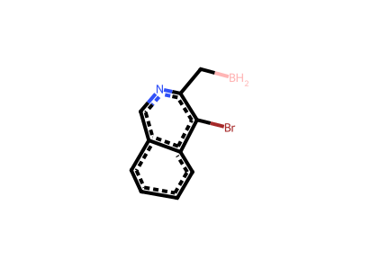 BCc1ncc2ccccc2c1Br